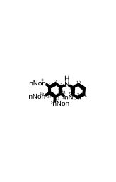 CCCCCCCCCc1cc(Nc2ccccc2)c(CCCCCCCCC)c(CCCCCCCCC)c1CCCCCCCCC